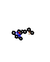 c1ccc(-n2c3ccccc3c3ccc4c5ccccc5n(-c5ccc6c(c5)-c5ccc(-c7cccc8c7sc7ccccc78)cc5C6)c4c32)cc1